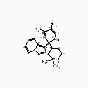 CC1(C)CC(C2(c3cnn4ccncc34)N=C(N)C(N)=CN2)CCO1